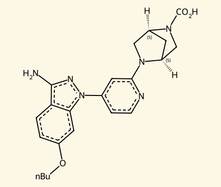 CCCCOc1ccc2c(N)nn(-c3ccnc(N4C[C@@H]5C[C@H]4CN5C(=O)O)c3)c2c1